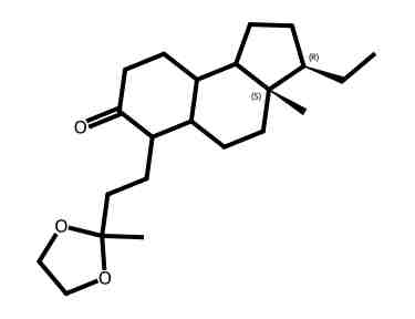 CC[C@@H]1CCC2C3CCC(=O)C(CCC4(C)OCCO4)C3CC[C@]21C